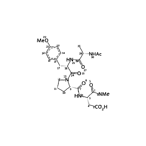 CNC(=O)[C@H](CC(=O)O)NC(=O)[C@@H]1CCCN1C(=O)[C@H](Cc1ccc(OC)cc1)NC(=O)[C@H](C)NC(C)=O